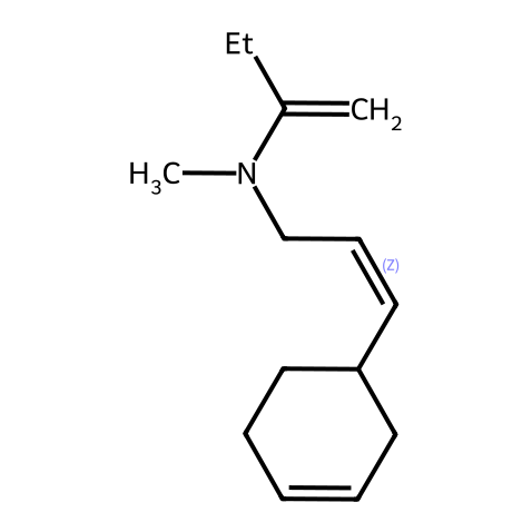 C=C(CC)N(C)C/C=C\C1CC=CCC1